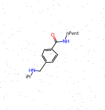 CCCCCNC(=O)c1ccc(CNC(C)C)cc1